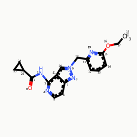 O=C(Nc1nccc2nn(Cc3cccc(OCC(F)(F)F)n3)cc12)C1CC1